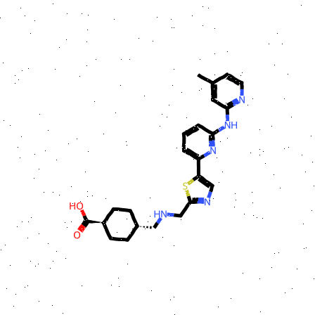 Cc1ccnc(Nc2cccc(-c3cnc(CNC[C@H]4CC[C@H](C(=O)O)CC4)s3)n2)c1